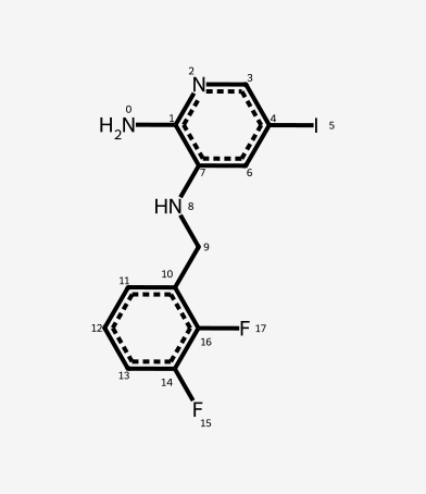 Nc1ncc(I)cc1NCc1cccc(F)c1F